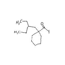 CCC(CC)CC1(C(=O)I)CCCCC1